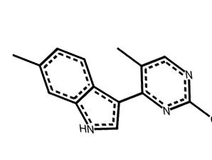 Cc1ccc2c(-c3nc(Cl)ncc3C)c[nH]c2c1